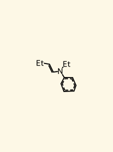 CC/C=C/N(CC)c1ccccc1